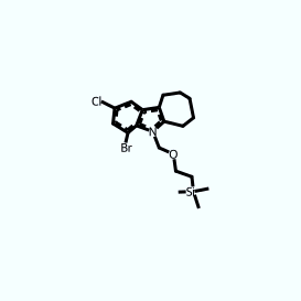 C[Si](C)(C)CCOCn1c2c(c3cc(Cl)cc(Br)c31)CCCCC2